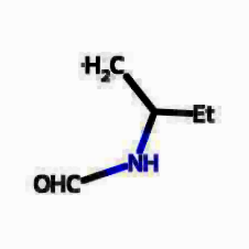 [CH2]C(CC)NC=O